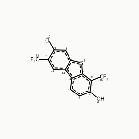 Oc1ccc2c(sc3cc(Cl)c(C(F)(F)F)cc32)c1C(F)(F)F